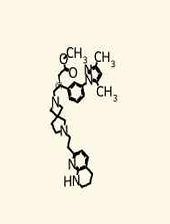 COC(=O)C[C@H](CN1CC2(CCN(CCc3ccc4c(n3)NCCC4)C2)C1)c1cccc(-n2nc(C)cc2C)c1